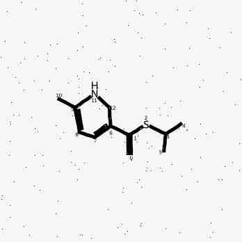 C=C(SC(C)C)C1=CC=C(C)NC1